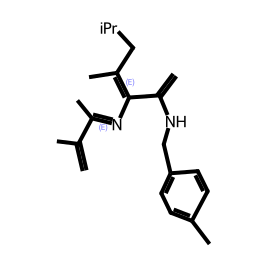 C=C(C)/C(C)=N/C(C(=C)NCc1ccc(C)cc1)=C(\C)CC(C)C